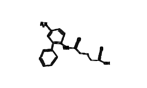 Nc1ccc(NC(=O)CCCC(=O)O)c(-c2ccccc2)c1